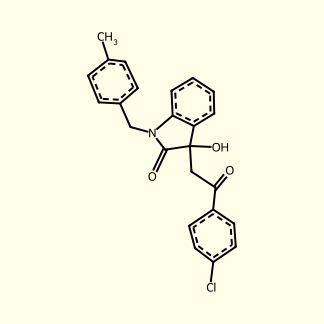 Cc1ccc(CN2C(=O)C(O)(CC(=O)c3ccc(Cl)cc3)c3ccccc32)cc1